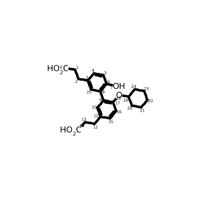 O=C(O)CCc1ccc(O)c(-c2cc(CCC(=O)O)ccc2OC2CCCCC2)c1